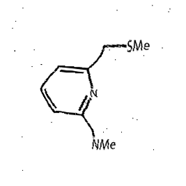 CNc1cccc(CSC)n1